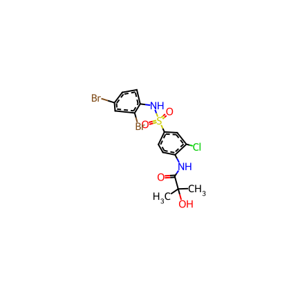 CC(C)(O)C(=O)Nc1ccc(S(=O)(=O)Nc2ccc(Br)cc2Br)cc1Cl